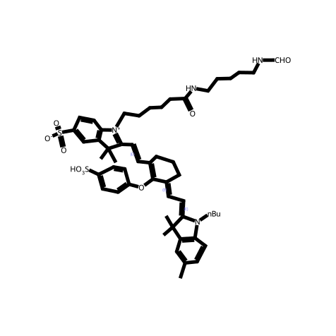 CCCCN1/C(=C/C=C2\CCCC(/C=C/C3=[N+](CCCCCC(=O)NCCCCCNC=O)c4ccc(S(=O)(=O)[O-])cc4C3(C)C)=C2Oc2ccc(S(=O)(=O)O)cc2)C(C)(C)c2cc(C)ccc21